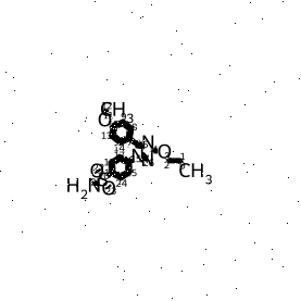 CCCOc1nc(-c2ccc(OC)cc2)n(-c2ccc(S(N)(=O)=O)cc2)n1